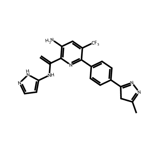 C=C(Nc1ccn[nH]1)c1nc(-c2ccc(C3=NN=C(C)C3)cc2)c(C(F)(F)F)cc1N